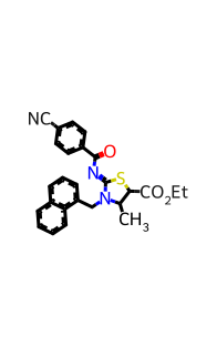 CCOC(=O)C1SC(=NC(=O)c2ccc(C#N)cc2)N(Cc2cccc3ccccc23)C1C